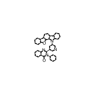 O=c1c2ccccc2nc(-c2cncc(-n3c4ccccc4c4ccc5c6ccccc6oc5c43)c2)n1-c1ccccc1